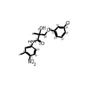 Cc1cc(NC(=O)C(C)(O)COc2cccc(Cl)c2)ccc1[N+](=O)[O-]